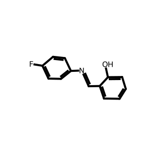 Oc1ccccc1C=Nc1ccc(F)cc1